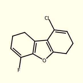 FC1=CCCc2c1oc1c2C(Cl)=CCC1